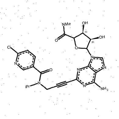 CNC(=O)C1OC(n2cnc3c(N)nc(C#CCN(C(=O)c4ccc(Cl)nc4)C(C)C)nc32)[C@H](O)[C@@H]1O